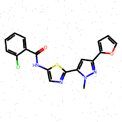 Cn1nc(-c2ccco2)cc1-c1ncc(NC(=O)c2ccccc2Cl)s1